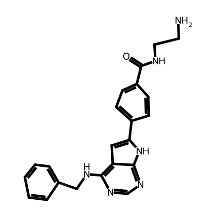 NCCNC(=O)c1ccc(-c2cc3c(NCc4ccccc4)ncnc3[nH]2)cc1